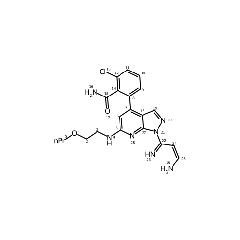 CCCOCCNc1cc(-c2cccc(Cl)c2C(N)=O)c2cnn(C(=N)/C=C\N)c2n1